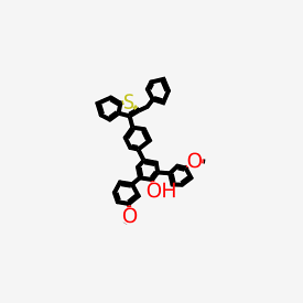 COc1cccc(-c2cc(-c3ccc(-c4c(Cc5ccccc5)sc5ccccc45)cc3)cc(-c3cccc(OC)c3)c2O)c1